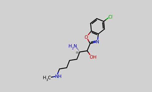 CNCCCC[C@H](N)C(O)c1nc2cc(Cl)ccc2o1